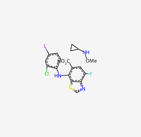 CONC1CC1.O=C(O)c1cc(F)c2ncsc2c1Nc1ccc(I)cc1Cl